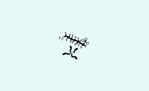 C=CC[N+](CC=C)(CC=C)CC=C.O=S(=O)([O-])C(F)(F)C(F)(F)C(F)(F)C(F)(F)C(F)(F)C(F)(F)C(F)C(F)(F)F